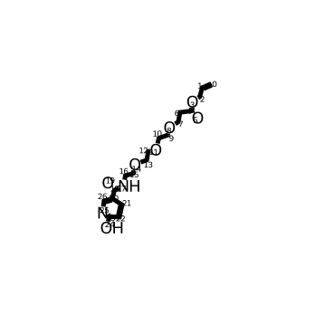 C=CCOC(=O)CCOCCOCCOCCNC(=O)c1ccc(O)nc1